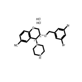 Cl.Cl.N#Cc1ccc2c(c1)[C@H](N1CCNCC1)[C@@H](OCc1cc(Br)cc(Br)c1)CO2